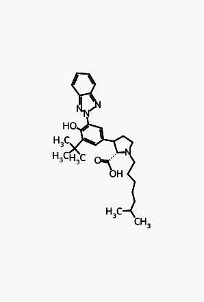 CC(C)CCCCCN1CCC(c2cc(-n3nc4ccccc4n3)c(O)c(C(C)(C)C)c2)[C@H]1C(=O)O